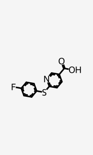 O=C(O)c1ccc(Sc2ccc(F)cc2)nc1